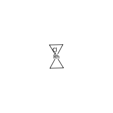 [Cl][Rh]12([CH2][CH2]1)[CH2][CH2]2